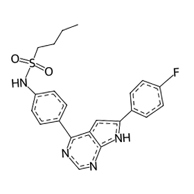 CCCCS(=O)(=O)Nc1ccc(-c2ncnc3[nH]c(-c4ccc(F)cc4)cc23)cc1